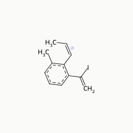 C=C(I)c1cccc(C)c1/C=C\C